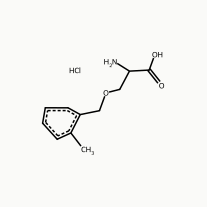 Cc1ccccc1COCC(N)C(=O)O.Cl